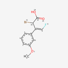 COc1cccc(C(=CF)C(Br)C(=O)O)c1